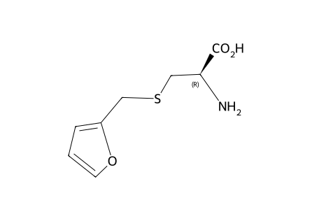 N[C@@H](CSCc1ccco1)C(=O)O